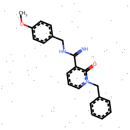 COc1ccc(CNC(=N)c2cccn(Cc3ccccc3)c2=O)cc1